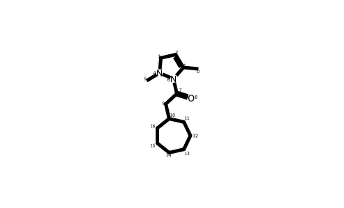 CC1=CCN(C)N1C(=O)CC1CCCCCC1